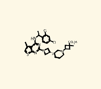 Cc1csc2nc(N3CC([C@H]4CCCN(C5CC(C)(C(=O)O)C5)C4)C3)nc(NC(C)c3ccc(Cl)cc3Cl)c12